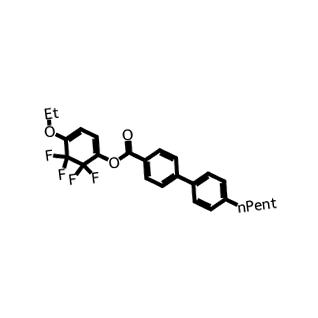 CCCCCc1ccc(-c2ccc(C(=O)OC3=CC=C(OCC)C(F)(F)C3(F)F)cc2)cc1